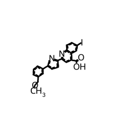 COCc1cccc(-c2ccc(-c3cc(C(=O)O)c4cc(I)ccc4n3)nc2)c1